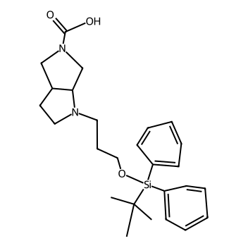 CC(C)(C)[Si](OCCCN1CCC2CN(C(=O)O)CC21)(c1ccccc1)c1ccccc1